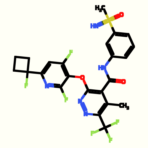 Cc1c(C(F)(F)F)nnc(Oc2c(F)cc(C3(F)CCC3)nc2F)c1C(=O)Nc1cccc(S(C)(=N)=O)c1